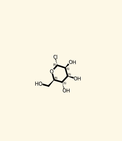 OC[C@H]1O[C@H](Cl)[C@@H](O)[C@@H](O)[C@@H]1O